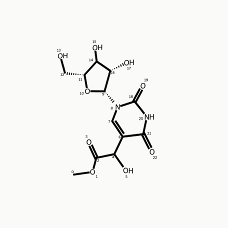 COC(=O)C(O)c1cn([C@@H]2O[C@H](CO)C(O)[C@@H]2O)c(=O)[nH]c1=O